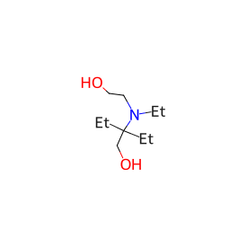 CCN(CCO)C(CC)(CC)CO